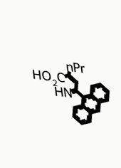 CCCC(=CC(=N)c1c2ccccc2cc2ccccc12)C(=O)O